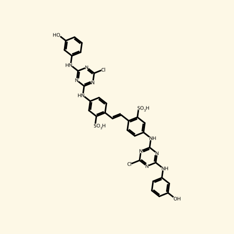 O=S(=O)(O)c1cc(Nc2nc(Cl)nc(Nc3cccc(O)c3)n2)ccc1/C=C/c1ccc(Nc2nc(Cl)nc(Nc3cccc(O)c3)n2)cc1S(=O)(=O)O